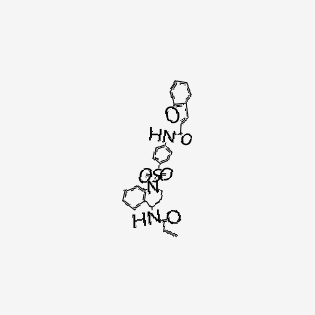 C=CC(=O)NC1CCN(S(=O)(=O)c2ccc(NC(=O)c3cc4ccccc4o3)cc2)c2ccccc21